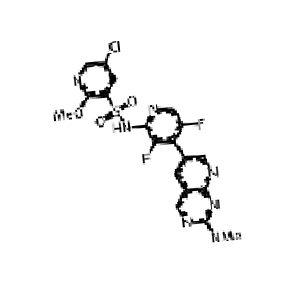 CNc1ncc2cc(-c3c(F)cnc(NS(=O)(=O)c4cc(Cl)cnc4OC)c3F)cnc2n1